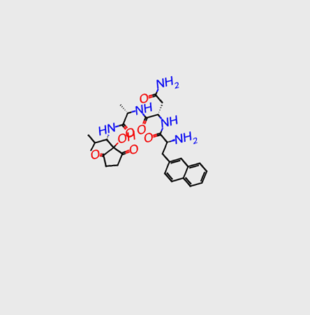 CC(C)[C@H](NC(=O)[C@H](C)NC(=O)[C@H](CC(N)=O)NC(=O)[C@@H](N)Cc1ccc2ccccc2c1)C1(O)C(=O)CCC1=O